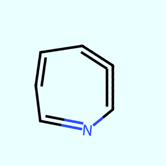 C1=CC=CC=NC=1